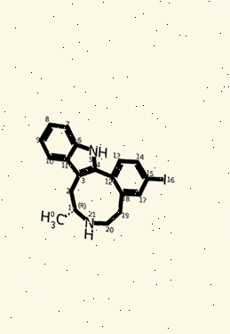 C[C@@H]1Cc2c([nH]c3ccccc23)-c2ccc(I)cc2CCN1